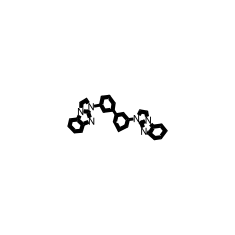 c1cc(-c2cccc(-n3ccn4c5ccccc5nc34)c2)cc(-n2ccn3c4ccccc4nc23)c1